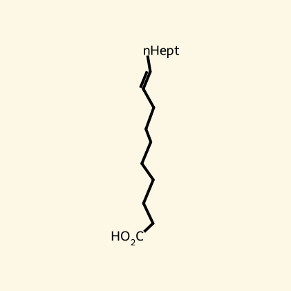 CCCCCCCC=CCCCCCCCC(=O)O